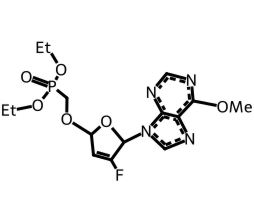 CCOP(=O)(COC1C=C(F)C(n2cnc3c(OC)ncnc32)O1)OCC